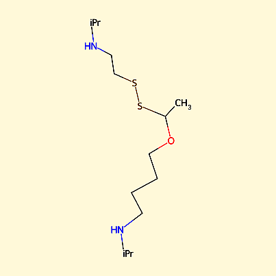 CC(C)NCCCCOC(C)SSCCNC(C)C